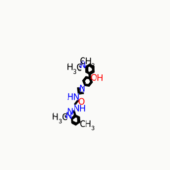 Cc1ccc2c(c1)c(NCC(=O)NC1CN([C@H]3CC[C@@](O)(c4cccc(N(C)C)c4)CC3)C1)nn2C